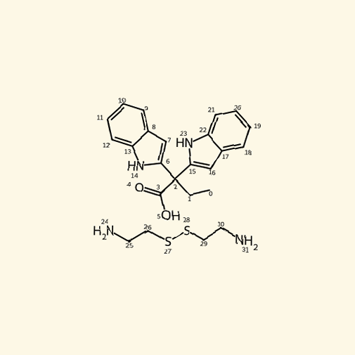 CCC(C(=O)O)(c1cc2ccccc2[nH]1)c1cc2ccccc2[nH]1.NCCSSCCN